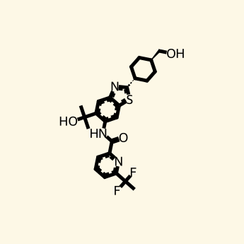 CC(C)(O)c1cc2nc([C@H]3CC[C@H](CO)CC3)sc2cc1NC(=O)c1cccc(C(C)(F)F)n1